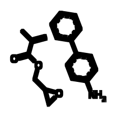 C=C(C)C(=O)OCC1CO1.Nc1ccc(-c2ccccc2)cc1